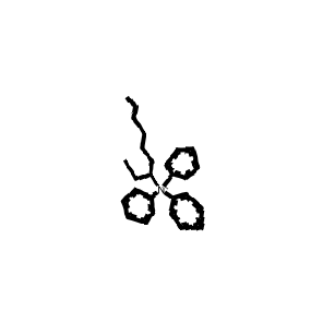 CCCCCCC(CC)[N+](c1ccccc1)(c1ccccc1)c1ccccc1